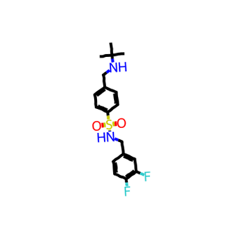 CC(C)(C)NCc1ccc(S(=O)(=O)NCc2ccc(F)c(F)c2)cc1